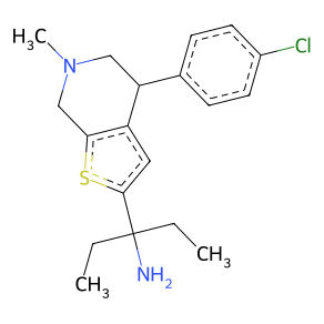 CCC(N)(CC)c1cc2c(s1)CN(C)CC2c1ccc(Cl)cc1